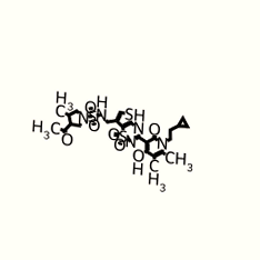 CC(=O)C1CN(S(=O)(=O)NCc2csc3c2S(=O)(=O)N=C(c2c(O)c(C)c(C)n(CCC4CC4)c2=O)N3)CC1C